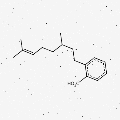 CC(C)=CCCC(C)CCc1ccccc1C(=O)O